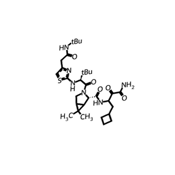 CC(C)(C)NC(=O)Cc1csc(N[C@H](C(=O)N2CC3C([C@H]2C(=O)NC(CC2CCC2)C(=O)C(N)=O)C3(C)C)C(C)(C)C)n1